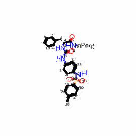 CCCCCNC(=O)[C@@H](Cc1ccccc1)NC(=O)Nc1ccc(NS(=O)(=O)c2ccc(C)cc2)cc1